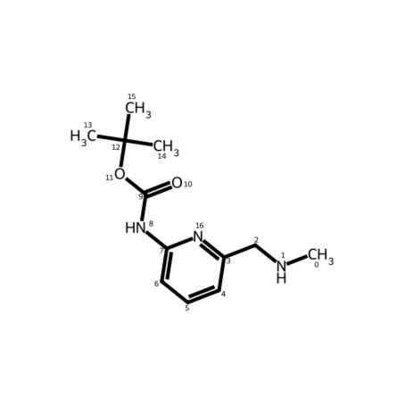 CNCc1cccc(NC(=O)OC(C)(C)C)n1